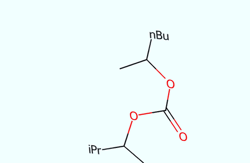 CCCCC(C)OC(=O)OC(C)C(C)C